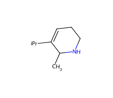 CC(C)C1=CCCNC1C